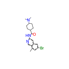 Cc1cc(Br)cc2cc(NC(=O)C3CCC(N(C)C)CC3)ncc12